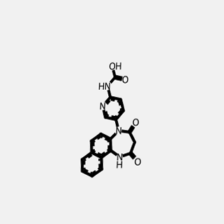 O=C(O)Nc1ccc(N2C(=O)CC(=O)Nc3c2ccc2ccccc32)cn1